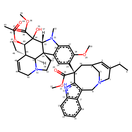 CCC1=CC2CN(C1)Cc1c([nH]c3ccccc13)[C@@](C(=O)OC)(c1cc3c(cc1OC)N(C)[C@H]1C(O)(C(=O)OC)[C@H](OC(C)=O)[C@]4(CC)C=CCN5CC[C@]31[C@@H]54)C2